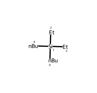 CCCC[Si](CC)(CC)CCCC